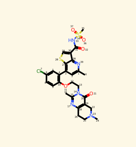 Cc1cc(-c2cc(Cl)ccc2OCCn2c(C)nc3c(c2=O)CN(C)CC3)c2scc(C(=O)NS(C)(=O)=O)c2n1